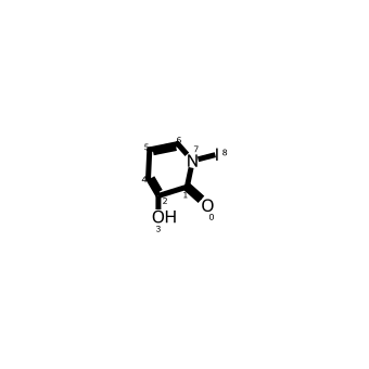 O=c1c(O)cccn1I